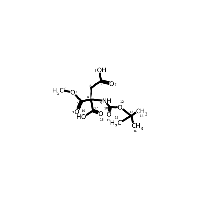 COC(=O)[C@](CC(=O)O)(NC(=O)OC(C)(C)C)C(=O)O